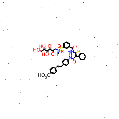 CN(C[C@H](O)[C@@H](O)[C@H](O)[C@H](O)CO)S(=O)(=O)c1cccc(C(=O)Nc2sc3c(c2C(=O)Nc2ccc(CCc4ccc(C(=O)O)cc4)cc2)CCCC3)c1